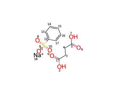 O=C(O)CCC(=O)O.O=S(=O)([O-])c1ccccc1.[Na+]